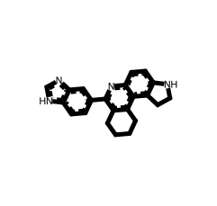 c1nc2cc(-c3nc4ccc5c(c4c4c3CCCC4)CCN5)ccc2[nH]1